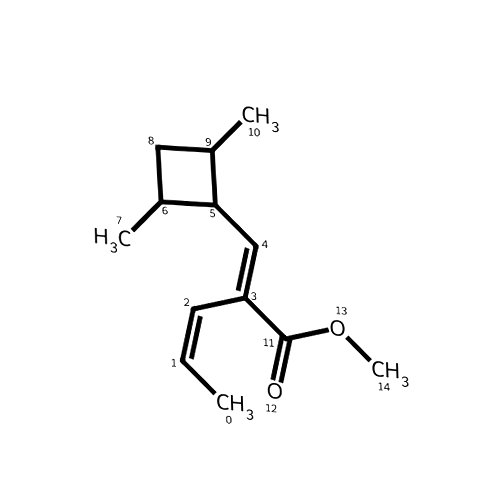 C/C=C\C(=C/C1C(C)CC1C)C(=O)OC